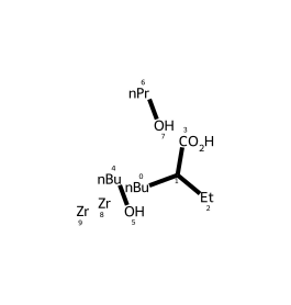 CCCCC(CC)C(=O)O.CCCCO.CCCO.[Zr].[Zr]